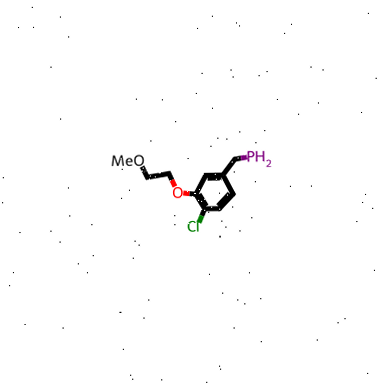 COCCOc1cc(CP)ccc1Cl